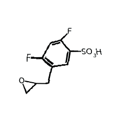 O=S(=O)(O)c1cc(CC2CO2)c(F)cc1F